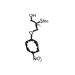 CS[C@H](CO)COc1ccc([N+](=O)[O-])cc1